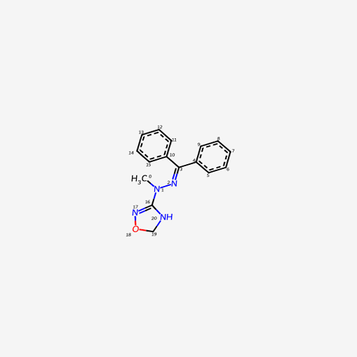 CN(N=C(c1ccccc1)c1ccccc1)C1=NOCN1